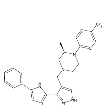 C[C@@H]1CN(Cc2c[nH]nc2-c2ncc(-c3ccccc3)[nH]2)CCN1c1ccc(C(F)(F)F)cn1